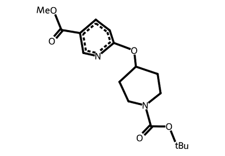 COC(=O)c1ccc(OC2CCN(C(=O)OC(C)(C)C)CC2)nc1